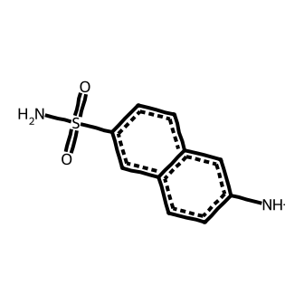 [NH]c1ccc2cc(S(N)(=O)=O)ccc2c1